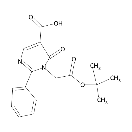 CC(C)(C)OC(=O)Cn1c(-c2ccccc2)ncc(C(=O)O)c1=O